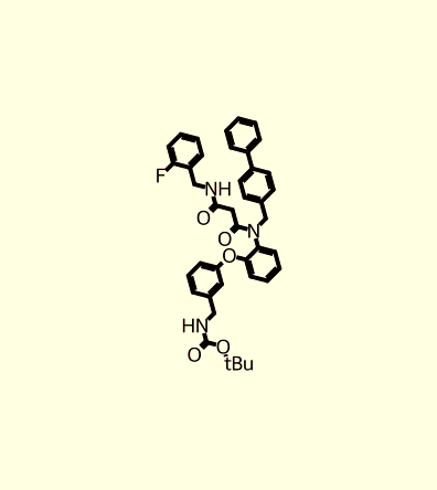 CC(C)(C)OC(=O)NCc1cccc(Oc2ccccc2N(Cc2ccc(-c3ccccc3)cc2)C(=O)CC(=O)NCc2ccccc2F)c1